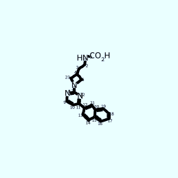 O=C(O)NCCC1CN(c2nccc(-c3ccc4ccccc4c3)n2)C1